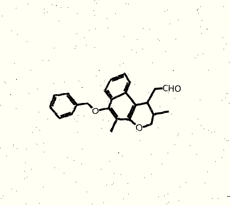 Cc1c2c(c3ccccc3c1OCc1ccccc1)C(CC=O)C(C)CO2